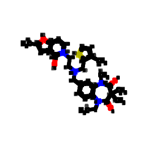 CCN1C(=O)C(C)(C)C(=O)N(C)c2cc(CN(CCn3ccc4oc(C)cc4c3=O)Cc3sccc3C)ccc21